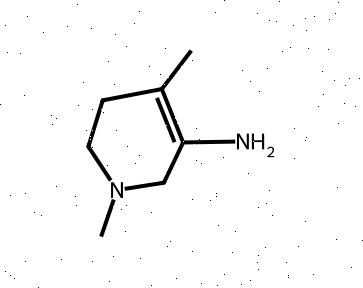 CC1=C(N)CN(C)CC1